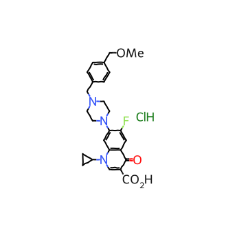 COCc1ccc(CN2CCN(c3cc4c(cc3F)c(=O)c(C(=O)O)cn4C3CC3)CC2)cc1.Cl